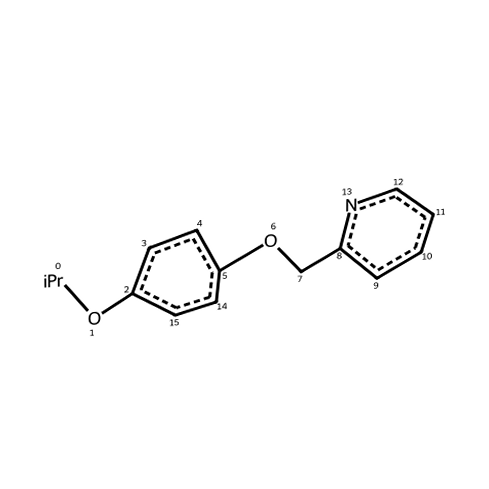 CC(C)Oc1ccc(OCc2ccccn2)cc1